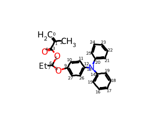 C=C(C)C(=O)OC(CC)Oc1ccc(N(c2ccccc2)c2ccccc2)cc1